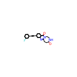 O=C1CCc2nc3cc(C#Cc4cccc(F)c4)ccc3c(=O)n2CCN1